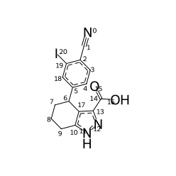 N#Cc1ccc(C2CCCc3[nH]nc(C(=O)O)c32)cc1I